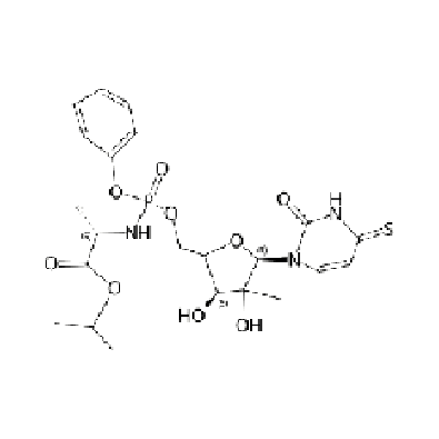 CC(C)OC(=O)[C@H](C)NP(=O)(OCC1O[C@@H](n2ccc(=S)[nH]c2=O)C(C)(O)[C@H]1O)Oc1ccccc1